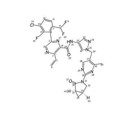 C=Cc1ncc(-c2c(C(F)F)ccc(Cl)c2F)nc1C(=O)Nc1cnn(Cc2cnc(N3C[C@H]4C[C@H]4C3=O)nc2C)c1